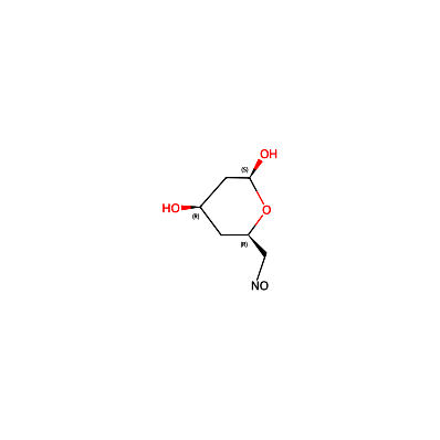 O=NC[C@H]1C[C@@H](O)C[C@@H](O)O1